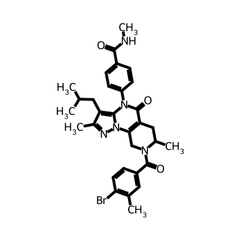 CNC(=O)c1ccc(-n2c(=O)c3c(n4nc(C)c(CC(C)C)c24)CN(C(=O)c2ccc(Br)c(C)c2)C(C)C3)cc1